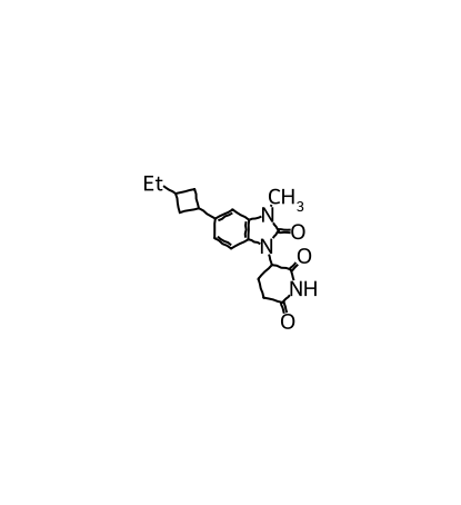 CCC1CC(c2ccc3c(c2)n(C)c(=O)n3C2CCC(=O)NC2=O)C1